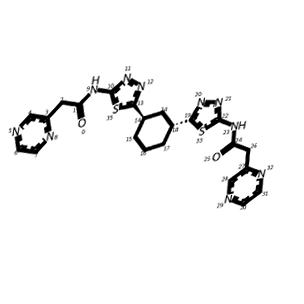 O=C(Cc1cnccn1)Nc1nnc([C@@H]2CCC[C@@H](c3nnc(NC(=O)Cc4cnccn4)s3)C2)s1